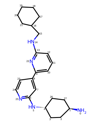 N[C@H]1CC[C@H](Nc2cc(-c3cccc(NCC4CCCCC4)n3)ccn2)CC1